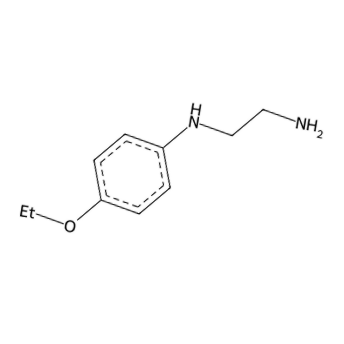 CCOc1ccc(NCCN)cc1